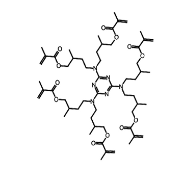 C=C(C)C(=O)OCC(C)CCN(CCC(C)COC(=O)C(=C)C)c1nc(N(CCC(C)COC(=O)C(=C)C)CCC(C)COC(=O)C(=C)C)nc(N(CCC(C)COC(=O)C(=C)C)CCC(C)COC(=O)C(=C)C)n1